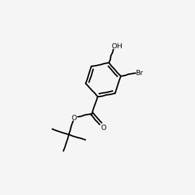 CC(C)(C)OC(=O)c1ccc(O)c(Br)c1